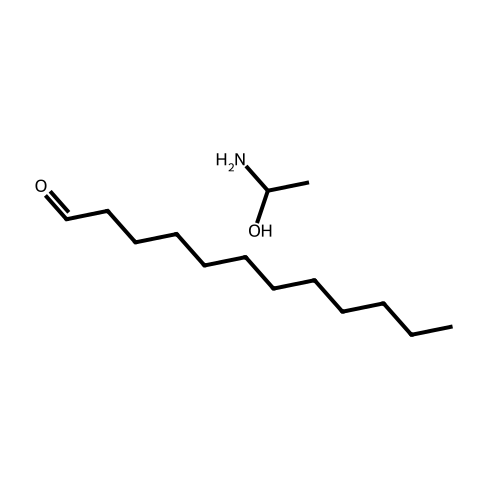 CC(N)O.CCCCCCCCCCCC=O